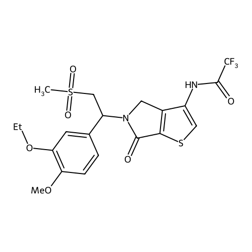 CCOc1cc(C(CS(C)(=O)=O)N2Cc3c(NC(=O)C(F)(F)F)csc3C2=O)ccc1OC